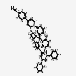 N#Cc1ccc(-c2ccc(-c3ccc4c(c3)C3(c5ccccc5O4)c4ccccc4-c4ccc(-c5nc(-c6ccccc6)nc(-c6ccccc6)n5)cc43)cc2)cc1